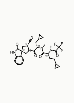 CN(C(=O)[C@H](CCC1CC1)NC(=O)C(F)(F)F)[C@@H](CC1CC1)C(=O)N1C[C@]2(C[C@H]1C#N)C(=O)Nc1ccccc12